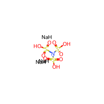 O=S(=O)(O)N(S(=O)(=O)O)S(=O)(=O)O.[NaH].[NaH].[NaH]